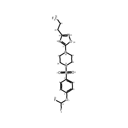 O=S(=O)(c1ccc(OC(F)F)cc1)N1CCN(c2nc(CCC(F)(F)F)no2)CC1